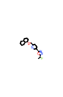 CC(F)c1nnc(-c2ccc(COc3cccc4ccccc34)nc2)o1